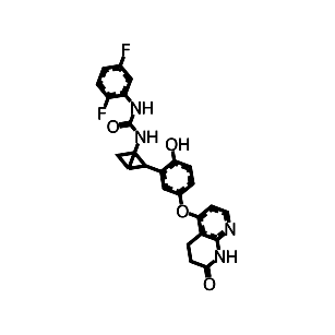 O=C1CCc2c(Oc3ccc(O)c(C4C5CC54NC(=O)Nc4cc(F)ccc4F)c3)ccnc2N1